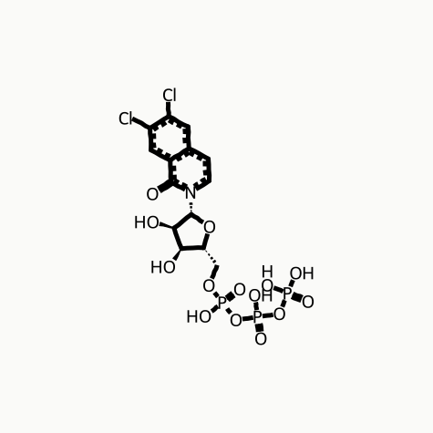 O=c1c2cc(Cl)c(Cl)cc2ccn1[C@@H]1O[C@H](COP(=O)(O)OP(=O)(O)OP(=O)(O)O)[C@@H](O)[C@H]1O